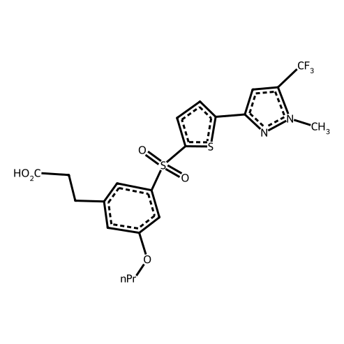 CCCOc1cc(CCC(=O)O)cc(S(=O)(=O)c2ccc(-c3cc(C(F)(F)F)n(C)n3)s2)c1